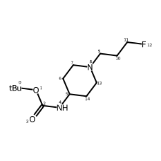 CC(C)(C)OC(=O)NC1CCN(CCCF)CC1